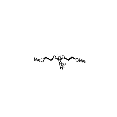 COCCONOCCOC.[H+].[Na+]